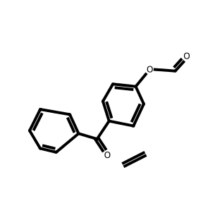 C=C.O=COc1ccc(C(=O)c2ccccc2)cc1